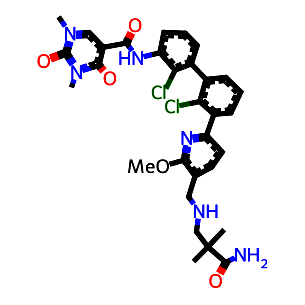 COc1nc(-c2cccc(-c3cccc(NC(=O)c4cn(C)c(=O)n(C)c4=O)c3Cl)c2Cl)ccc1CNCC(C)(C)C(N)=O